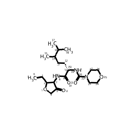 CCC1OCC(=O)C1NC(=O)[C@H](CCC(C)C(C)C)NC(=O)N1CCOCC1